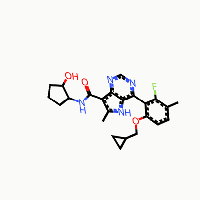 Cc1ccc(OCC2CC2)c(-c2ncnc3c(C(=O)NC4CCCC4O)c(C)[nH]c23)c1F